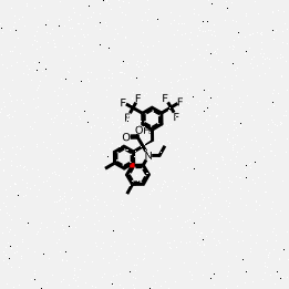 CCN(c1ccc(C)cc1)[C@@](Cc1cc(C(F)(F)F)cc(C(F)(F)F)c1)(C(=O)O)c1ccc(C)cc1